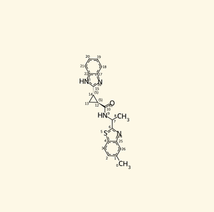 Cc1ccc2sc(C(C)NC(=O)[C@H]3C[C@@H]3c3nc4ccccc4[nH]3)nc2c1